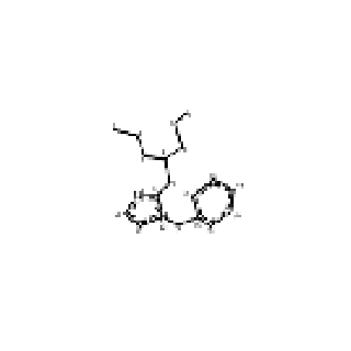 CCCC(CCC)Cc1nccn1Cc1ccccc1